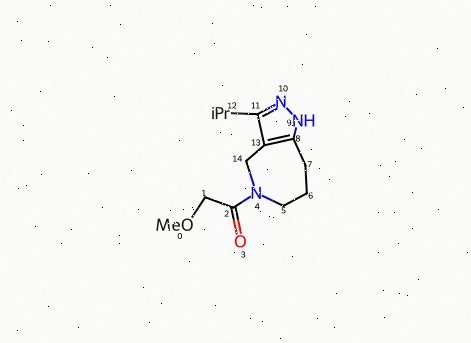 COCC(=O)N1CCCc2[nH]nc(C(C)C)c2C1